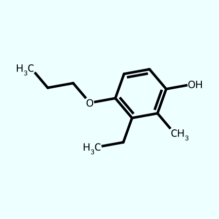 CCCOc1ccc(O)c(C)c1CC